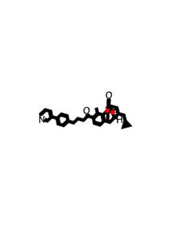 Cc1c(C(=O)CCCc2ccc(-c3cccnc3)cc2)ccc2c1C13CCC(CC4CC4)[C@H](C2)[C@]1(C)CCC(=O)C3